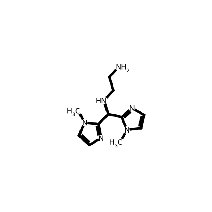 Cn1ccnc1C(NCCN)c1nccn1C